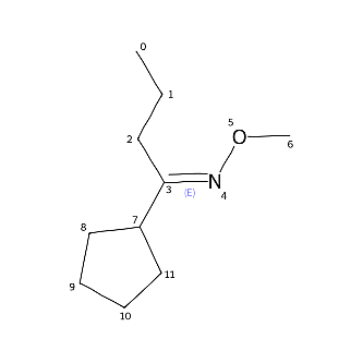 CCC/C(=N\OC)C1CCCC1